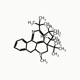 CN1CC(C(C)(C)C)(C(C)(C)C)c2c3c(nc(C(C)(C)C)c2C(C)(C)C)-c2ccccc2CC31